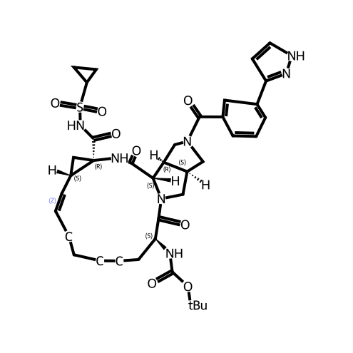 CC(C)(C)OC(=O)N[C@H]1CCCCC/C=C\[C@@H]2C[C@@]2(C(=O)NS(=O)(=O)C2CC2)NC(=O)[C@@H]2[C@H]3CN(C(=O)c4cccc(-c5cc[nH]n5)c4)C[C@H]3CN2C1=O